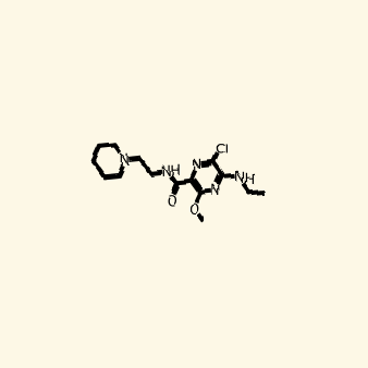 CCNc1nc(OC)c(C(=O)NCCN2CCCCC2)nc1Cl